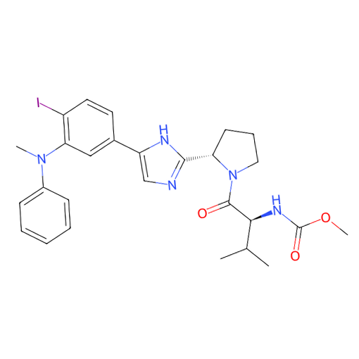 COC(=O)N[C@H](C(=O)N1CCC[C@H]1c1ncc(-c2ccc(I)c(N(C)c3ccccc3)c2)[nH]1)C(C)C